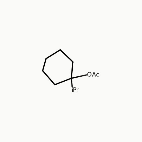 CC(=O)OC1(C(C)C)CCCCC1